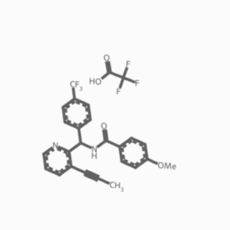 CC#Cc1cccnc1C(NC(=O)c1ccc(OC)cc1)c1ccc(C(F)(F)F)cc1.O=C(O)C(F)(F)F